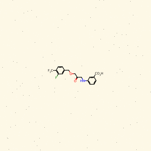 O=C(CNc1cccc(C(=O)O)c1)COCc1ccc(C(F)(F)F)c(F)c1